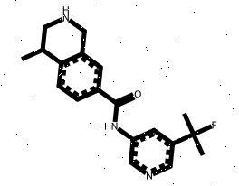 CC1CNCc2cc(C(=O)Nc3cncc(C(C)(C)F)c3)ccc21